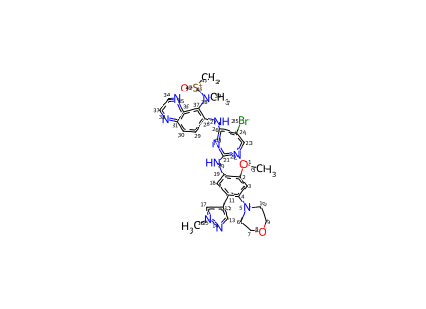 COc1cc(N2CCOCC2)c(-c2cnn(C)c2)cc1Nc1ncc(Br)c(Nc2ccc3nccnc3c2N(C)[S+](C)[O-])n1